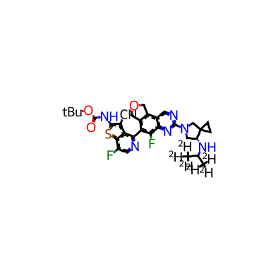 [2H]C([2H])([2H])C(N[C@@H]1CN(c2ncc3c4c(c(-c5ncc(F)c6sc(NC(=O)OC(C)(C)C)c(C#N)c56)c(F)c3n2)COC4)CC12CC2)C([2H])([2H])[2H]